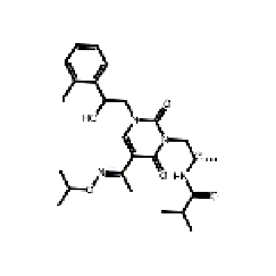 C/C(=N\OC(C)C)c1cn(CC(O)c2ccccc2I)c(=O)n(C[C@H](C)NC(=O)C(C)C)c1=O